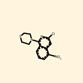 O=[N+]([O-])c1cccc2c(N3CCSCC3)nc(Cl)cc12